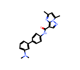 Cc1cc(C)n2ncc(C(=O)Nc3ccc(-c4cccc(N(C)C)c4)cc3)c2n1